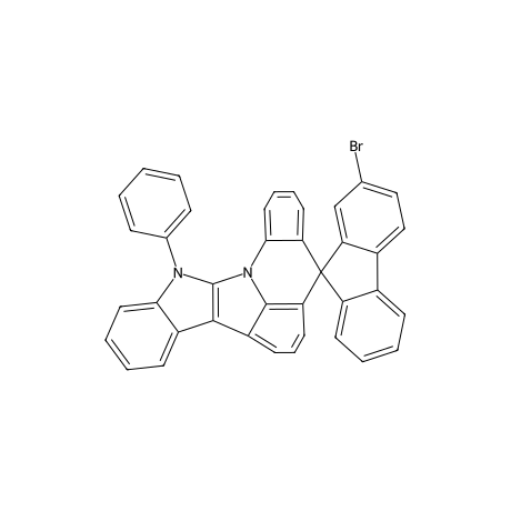 Brc1ccc2c(c1)C1(c3ccccc3-2)c2ccccc2-n2c3c1cccc3c1c3ccccc3n(-c3ccccc3)c12